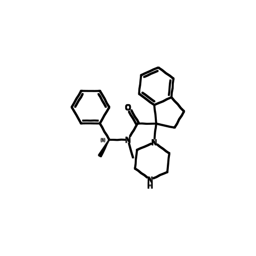 C[C@@H](c1ccccc1)N(C)C(=O)C1(N2CCNCC2)CCc2ccccc21